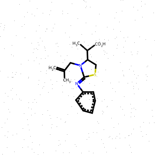 C=C(C)CN1C(=Nc2ccccc2)SCC1C(C)C(=O)O